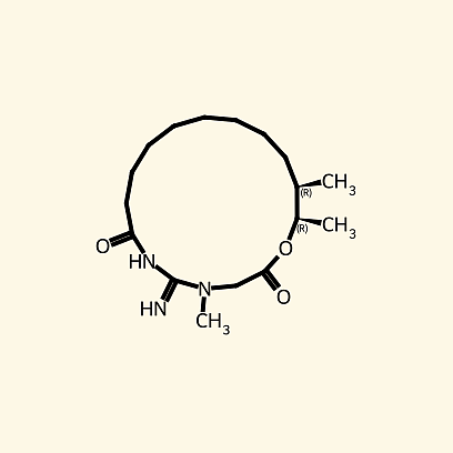 C[C@@H]1CCCCCCCCC(=O)NC(=N)N(C)CC(=O)O[C@@H]1C